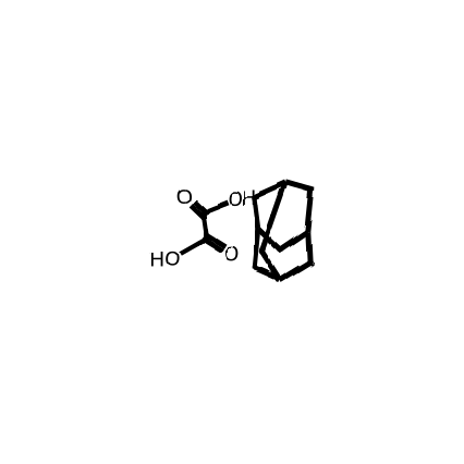 C1C2CC3CC1CC(C2)C3.O=C(O)C(=O)O